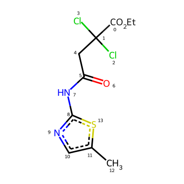 CCOC(=O)C(Cl)(Cl)CC(=O)Nc1ncc(C)s1